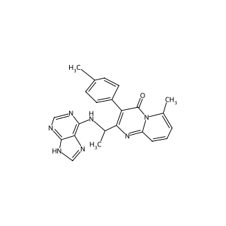 Cc1ccc(-c2c(C(C)Nc3ncnc4[nH]cnc34)nc3cccc(C)n3c2=O)cc1